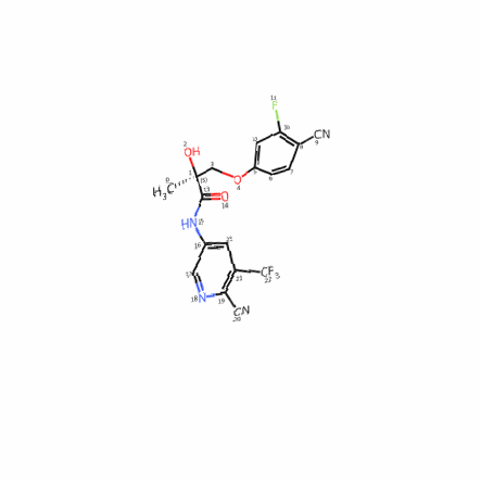 C[C@](O)(COc1ccc(C#N)c(F)c1)C(=O)Nc1cnc(C#N)c(C(F)(F)F)c1